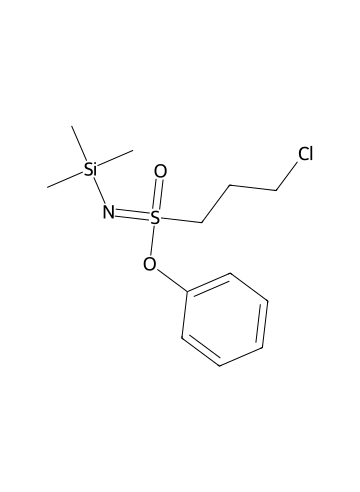 C[Si](C)(C)N=S(=O)(CCCCl)Oc1ccccc1